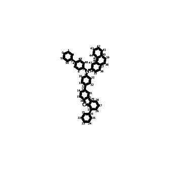 c1ccc(-c2ccc(N(c3ccc(-c4ccc5oc6c(-c7ccccc7)cccc6c5c4)cc3)c3ccc4ccc5ccccc5c4c3)cc2)cc1